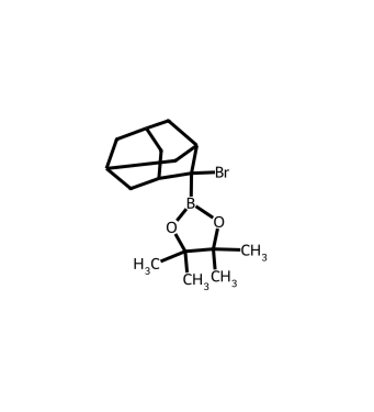 CC1(C)OB(C2(Br)C3CC4CC(C3)CC2C4)OC1(C)C